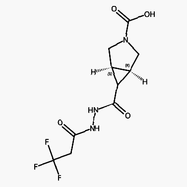 O=C(CC(F)(F)F)NNC(=O)C1[C@H]2CN(C(=O)O)C[C@@H]12